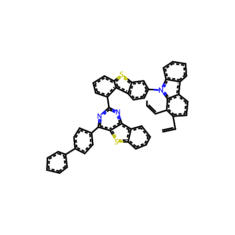 C=Cc1ccc2c3ccccc3n(-c3ccc4c(c3)sc3cccc(-c5nc(-c6ccc(-c7ccccc7)cc6)c6sc7ccccc7c6n5)c34)c2c1/C=C\C